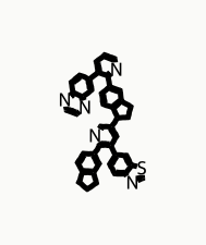 c1cnc(-c2ccc3c(c2)CCC3c2cnc(-c3ccc4c(c3)CCC4)c(-c3ccc4ncsc4c3)c2)c(-c2ccc3nccnc3c2)c1